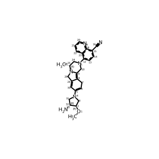 CO[C@@H]1CN(C2=CCC3=C4CN(c5ccc(C#N)c6ncccc56)C[C@@H](C)N4CC3=C2)C[C@H]1N